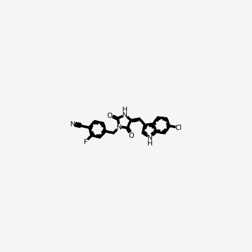 N#Cc1ccc(CN2C(=O)NC(=Cc3c[nH]c4cc(Cl)ccc34)C2=O)cc1F